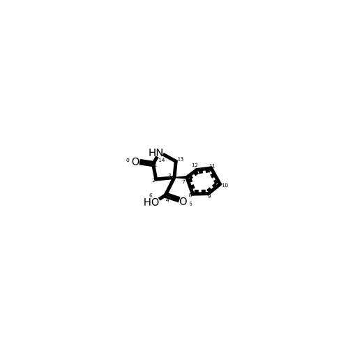 O=C1C[C@](C(=O)O)(c2ccccc2)CN1